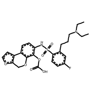 CCN(CC)CCCc1cc(F)ccc1S(=O)(=O)Nc1ccc2c(c1OC(=O)O)OCc1occc1-2